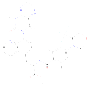 COC(=O)C(Cc1ccc(-n2c(=O)c3nccnc3n(C)c2=O)c2ncccc12)NC(=O)c1c(C)cc(N2CCOCC2C(F)(F)F)cc1F